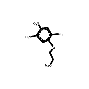 COCCOc1cc(N)c([N+](=O)[O-])cc1C(F)(F)F